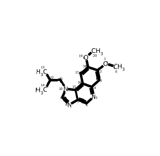 COc1cc2ncc3ncn(CC(C)C)c3c2cc1OC